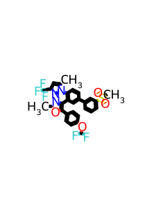 Cc1nc(-c2cc(-c3cccc(S(C)(=O)=O)c3)ccc2-n2nc(C(F)(F)F)cc2C)c(-c2ccc(OC(F)F)cc2)o1